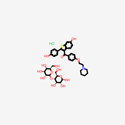 Cl.O=C(c1ccc(OCCN2CCCCC2)cc1)c1c(-c2ccc(O)cc2)sc2cc(O)ccc12.OC[C@H]1O[C@@H](O[C@H]2[C@H](O)[C@@H](O)[C@H](O)O[C@@H]2CO)[C@H](O)[C@@H](O)[C@H]1O